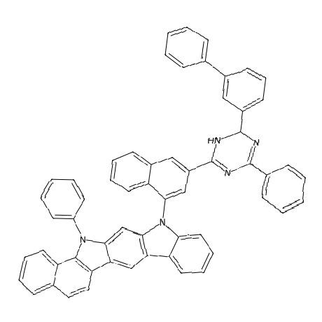 c1ccc(C2=NC(c3cccc(-c4ccccc4)c3)NC(c3cc(-n4c5ccccc5c5cc6c7ccc8ccccc8c7n(-c7ccccc7)c6cc54)c4ccccc4c3)=N2)cc1